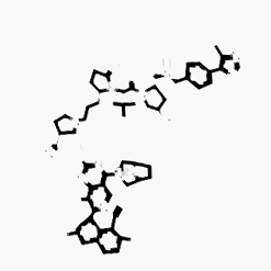 C#Cc1c(F)ccc2cc(O)cc(-c3ncc4c(N5CC6CCC(C5)N6)nc(OC[C@@H]5[C@@H](C#N)CCN5CCC[C@H]5CCC(=O)N5[C@H](C(=O)N5C[C@H](O)C[C@H]5C(=O)N[C@@H](C)c5ccc(-c6scnc6C)cc5)C(C)(C)C)nc4c3F)c12